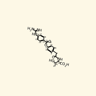 C[C@@H](O)[C@H](NC(=O)Cc1ccc(OC(=O)c2ccc(NC(=N)N)cc2)cc1)C(=O)O